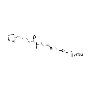 CCCCOCCOCCOCCCNC(=O)CCCCC1CCSS1